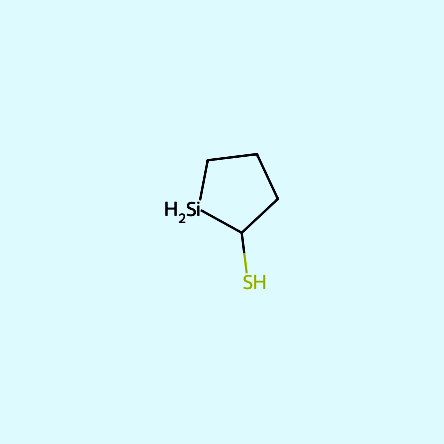 SC1CCC[SiH2]1